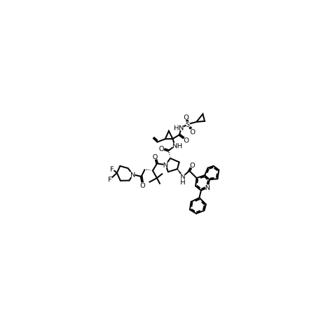 C=CC1CC1(NC(=O)[C@@H]1C[C@@H](NC(=O)c2cc(-c3ccccc3)nc3ccccc23)CN1C(=O)[C@@H](CC(=O)N1CCC(F)(F)CC1)C(C)(C)C)C(=O)NS(=O)(=O)C1CC1